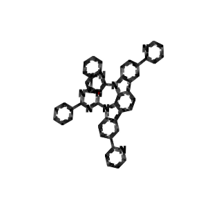 c1ccc(-c2nc(-c3ccccc3)nc(-n3c4ccc(-c5ccccn5)cc4c4ccc5c6cc(-c7ccccn7)ccc6n(-c6ccccn6)c5c43)n2)cc1